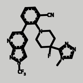 Cn1cnnc1C1(F)CCN(c2c(C#N)cccc2-c2cnc3nn(C(F)(F)F)cc3c2)CC1